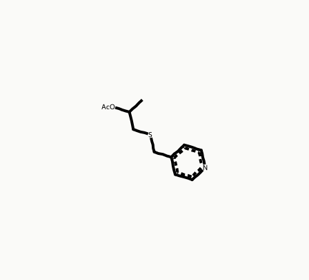 CC(=O)OC(C)CSCc1ccncc1